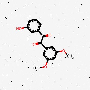 COc1cc(OC)cc(C(=O)C(=O)c2cccc(O)c2)c1